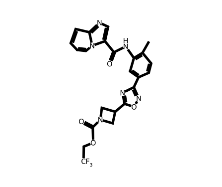 Cc1ccc(-c2noc(C3CN(C(=O)OCC(F)(F)F)C3)n2)cc1NC(=O)c1cnc2ccccn12